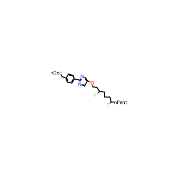 CCCCCCCCCCCc1ccc(-c2ncc(OCCC(F)CCCC(F)CCCCC)cn2)cc1